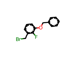 Fc1c(CBr)cccc1OCc1ccccc1